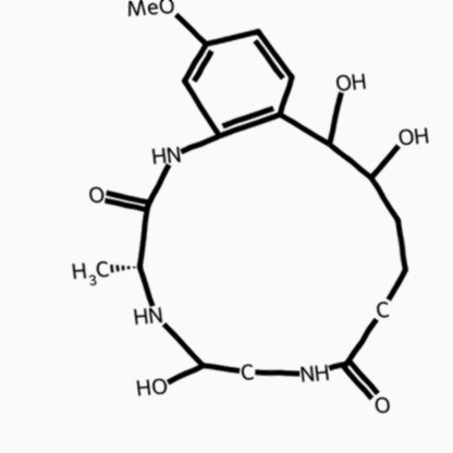 COc1ccc2c(c1)NC(=O)[C@@H](C)NC(O)CNC(=O)CCCC(O)C2O